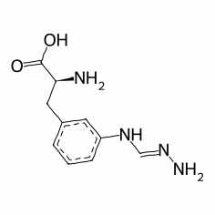 NN=CNc1cccc(C[C@H](N)C(=O)O)c1